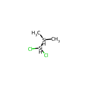 C[SiH](C)[SiH](Cl)Cl